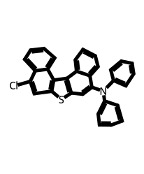 Clc1cc2sc3cc(N(c4ccccc4)c4ccccc4)c4ccccc4c3c2c2ccccc12